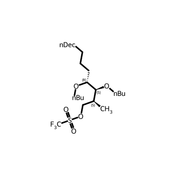 CCCCCCCCCCCCC[C@@H](OCCCC)[C@@H](OCCCC)[C@@H](C)COS(=O)(=O)C(F)(F)F